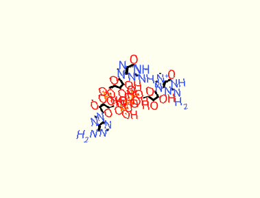 CO[C@H]1C(n2cnc3c(N)ncnc32)O[C@H](COP(=O)(O)OP(=O)(O)OP(=O)(O)OC[C@H]2OC(n3c[n+](C)c4c(=O)[nH]c(N)nc43)[C@H](O)[C@@H]2O)[C@H]1OP(=O)(O)OCC1O[C@@H](n2cnc3c(=O)[nH]c(N)nc32)[C@H](O)[C@@H]1O